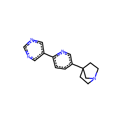 c1ncc(-c2ccc(C34CCN(CC3)C4)cn2)cn1